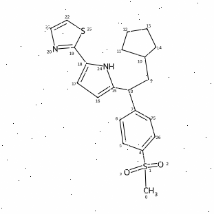 CS(=O)(=O)c1ccc(C(CC2CCCC2)c2ccc(-c3nccs3)[nH]2)cc1